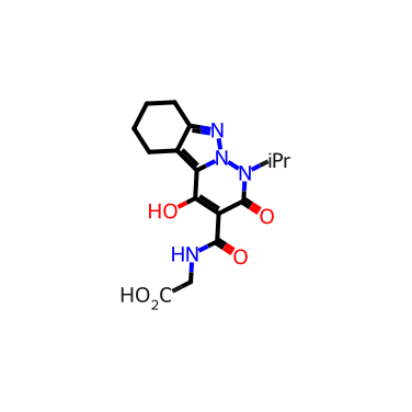 CC(C)n1c(=O)c(C(=O)NCC(=O)O)c(O)c2c3c(nn21)CCCC3